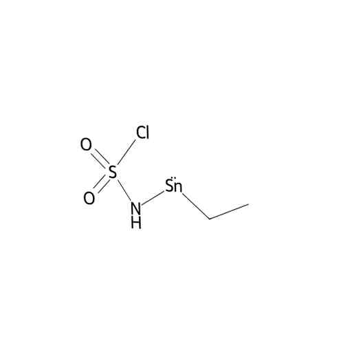 C[CH2][Sn][NH]S(=O)(=O)Cl